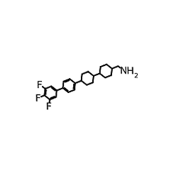 NCC1CCC(C2CCC(c3ccc(-c4cc(F)c(F)c(F)c4)cc3)CC2)CC1